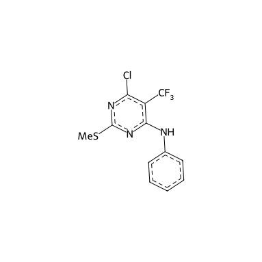 CSc1nc(Cl)c(C(F)(F)F)c(Nc2ccccc2)n1